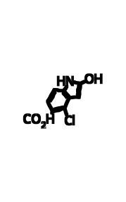 O=C(O)c1ccc2[nH]c(O)cc2c1Cl